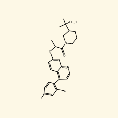 CC(Oc1ccc2c(-c3ccc(F)cc3Cl)ccnc2c1)C(=O)N1CCCC(C(C)(C)C(=O)O)C1